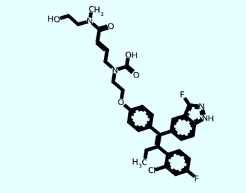 CCC(=C(c1ccc(OCCN(CC=CC(=O)N(C)CCO)C(=O)O)cc1)c1ccc2[nH]nc(F)c2c1)c1ccc(F)cc1Cl